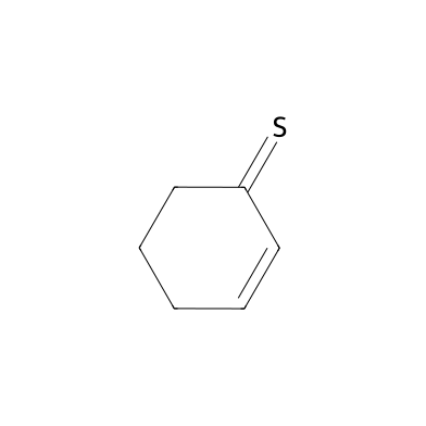 S=C1C=CCCC1